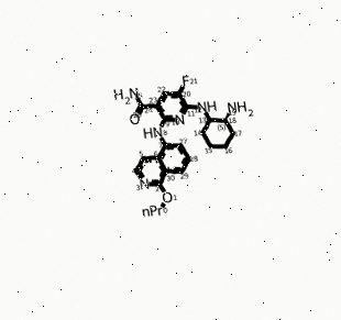 CCCOc1nccc2c(Nc3nc(NC4CCCC[C@@H]4N)c(F)cc3C(N)=O)cccc12